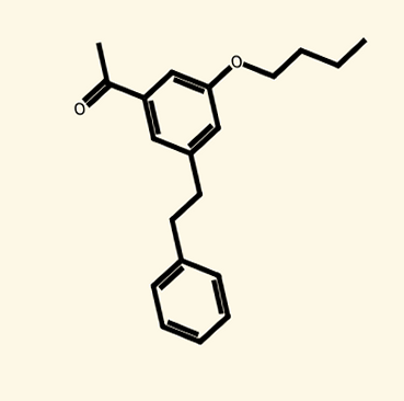 CCCCOc1cc(CCc2ccccc2)cc(C(C)=O)c1